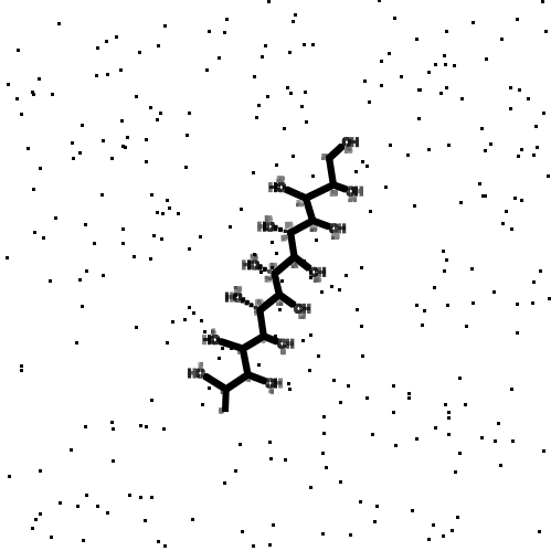 CC(O)C(O)C(O)C(O)[C@H](O)C(O)[C@H](O)C(O)[C@H](O)C(O)C(O)C(O)CO